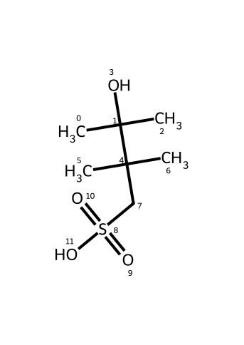 CC(C)(O)C(C)(C)CS(=O)(=O)O